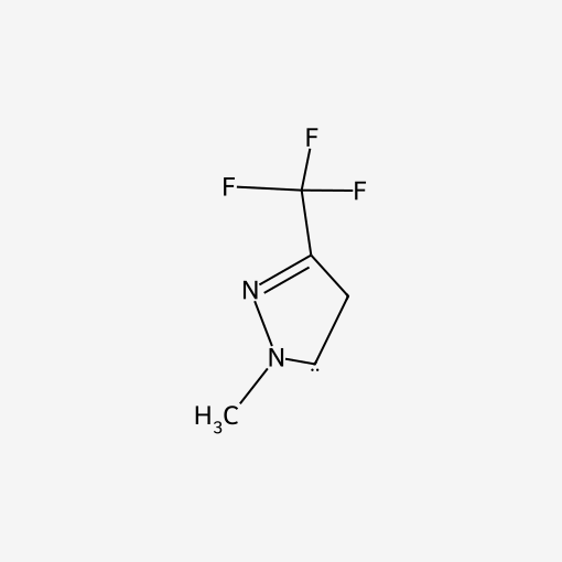 CN1[C]CC(C(F)(F)F)=N1